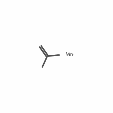 C=C(C)C.[Mn]